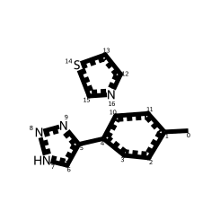 Cc1ccc(-c2c[nH]nn2)cc1.c1cscn1